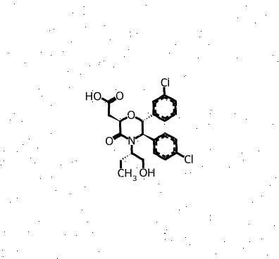 CC[C@@H](CO)N1C(=O)[C@@H](CC(=O)O)O[C@H](c2cccc(Cl)c2)[C@H]1c1ccc(Cl)cc1